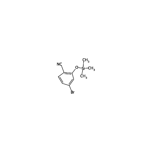 C[Si](C)(C)Oc1cc(Br)ccc1C#N